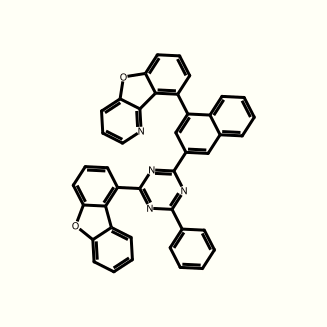 c1ccc(-c2nc(-c3cc(-c4cccc5oc6cccnc6c45)c4ccccc4c3)nc(-c3cccc4oc5ccccc5c34)n2)cc1